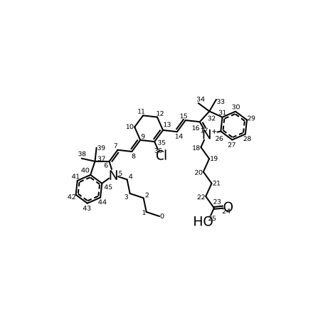 CCCCCN1/C(=C\C=C2/CCCC(/C=C/C3=[N+](CCCCCC(=O)O)c4ccccc4C3(C)C)=C2Cl)C(C)(C)c2ccccc21